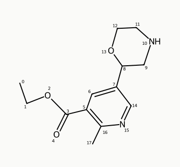 CCOC(=O)c1cc(C2CNCCO2)cnc1C